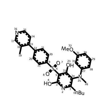 CCCCc1nc(O)c(S(=O)(=O)c2ccc(-c3ccncc3C)cc2)c(O)c1N(C)c1cccc(OC)c1